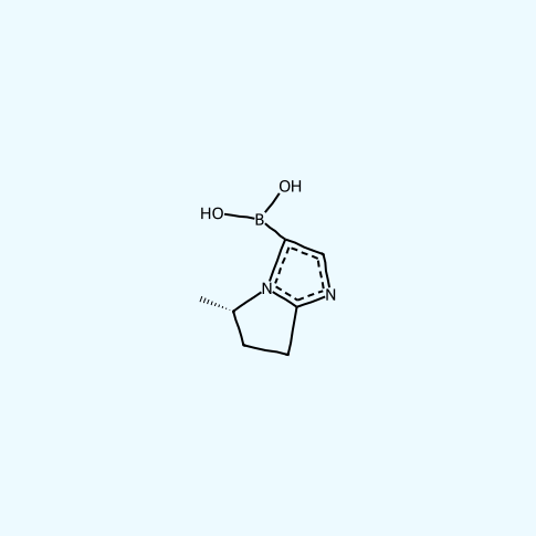 C[C@H]1CCc2ncc(B(O)O)n21